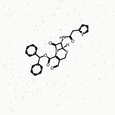 O=CC1=C(C(=O)OC(c2ccccc2)c2ccccc2)N2C(=O)[C@@H](NC(=O)Cc3cccs3)[C@@H]2SC1